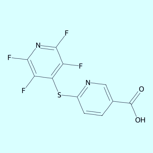 O=C(O)c1ccc(Sc2c(F)c(F)nc(F)c2F)nc1